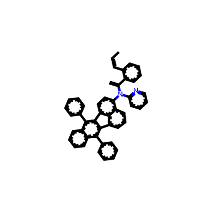 C=C(c1ccccc1/C=C\C)N(c1ccccn1)c1ccc2c3c(cccc13)-c1c-2c(-c2ccccc2)c2ccccc2c1-c1ccccc1